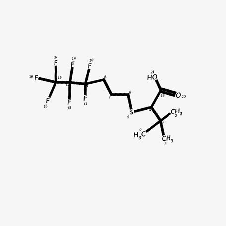 CC(C)(C)C(SCCCC(F)(F)C(F)(F)C(F)(F)F)C(=O)O